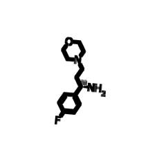 N[C@@H](CCN1CCOCC1)c1ccc(F)cc1